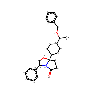 CC(OCc1ccccc1)C1CCC([C@@]23CCC(=O)N2[C@@H](c2ccccc2)CO3)CC1